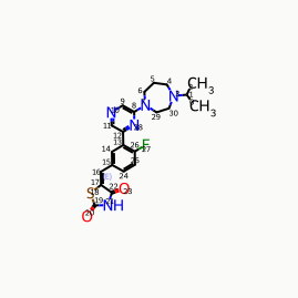 CC(C)N1CCCN(c2cncc(-c3cc(/C=C4/SC(=O)NC4=O)ccc3F)n2)CC1